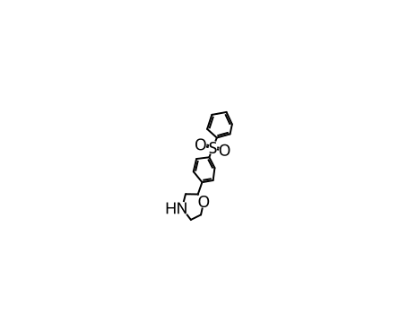 O=S(=O)(c1ccccc1)c1ccc(C2CNCCO2)cc1